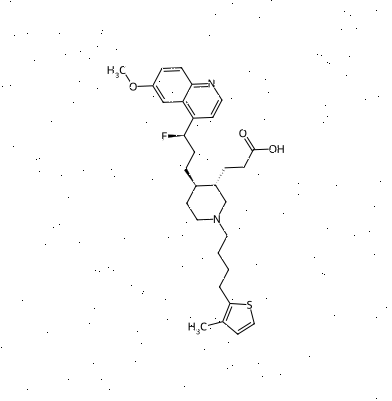 COc1ccc2nccc([C@H](F)CC[C@@H]3CCN(CCCCc4sccc4C)C[C@H]3CCC(=O)O)c2c1